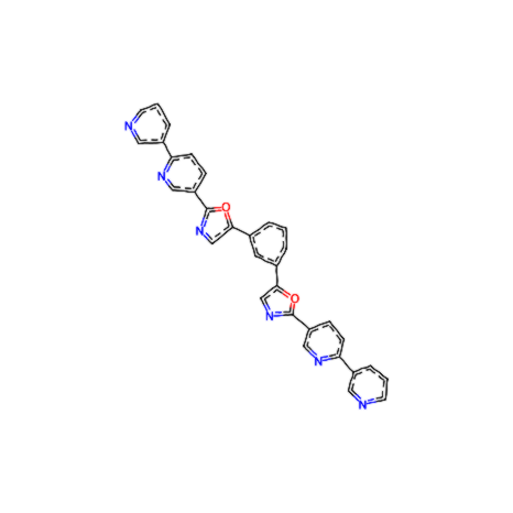 c1cncc(-c2ccc(-c3ncc(-c4cccc(-c5cnc(-c6ccc(-c7cccnc7)nc6)o5)c4)o3)cn2)c1